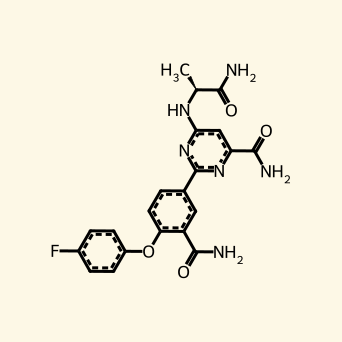 C[C@H](Nc1cc(C(N)=O)nc(-c2ccc(Oc3ccc(F)cc3)c(C(N)=O)c2)n1)C(N)=O